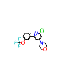 FC(F)(F)OC1=CC[CH]C(c2cc(N3CCOCC3)cc(Cl)n2)=C1